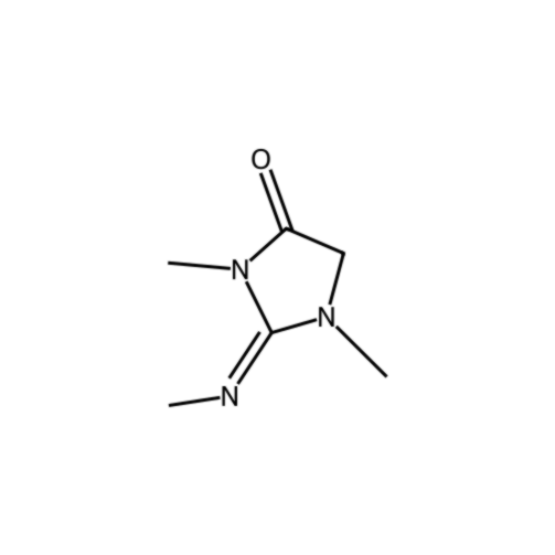 CN=C1N(C)CC(=O)N1C